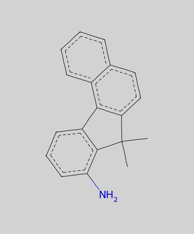 CC1(C)c2ccc3ccccc3c2-c2cccc(N)c21